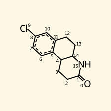 O=C1CCC2c3ccc(Cl)cc3CCC2N1